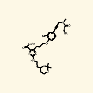 COC(=O)c1nc(NCCC2CCOC(C)(C)O2)sc1CCCOc1ccc(C#CCN(C)C(=O)OC(C)(C)C)cc1F